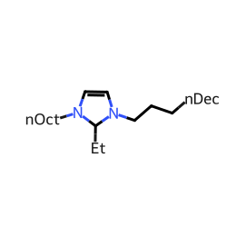 CCCCCCCCCCCCCN1C=CN(CCCCCCCC)C1CC